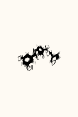 O=C(OCC1CCOC1)c1ccc2nc(-c3cc(Cl)cc(Cl)c3)oc2c1